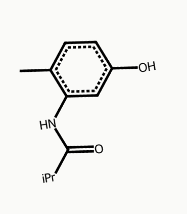 Cc1ccc(O)cc1NC(=O)C(C)C